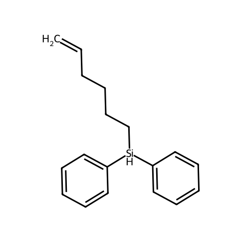 C=CCCCC[SiH](c1ccccc1)c1ccccc1